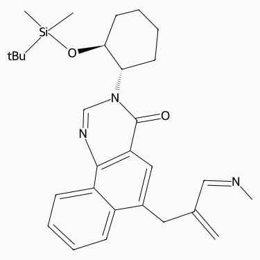 C=C(/C=N\C)Cc1cc2c(=O)n([C@H]3CCCC[C@@H]3O[Si](C)(C)C(C)(C)C)cnc2c2ccccc12